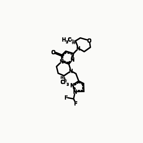 C[C@@H]1COCCN1c1cc(=O)n2c(n1)N(Cc1ccn(C(F)F)n1)[C@H](C(F)(F)F)CC2